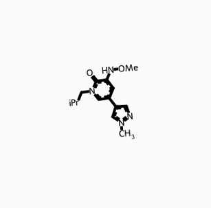 CONc1cc(-c2cnn(C)c2)cn(CC(C)C)c1=O